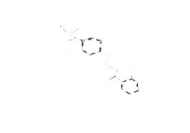 COc1ccc(Cl)cc1C(=O)NCCc1ccc(S(N)(=O)=O)cc1